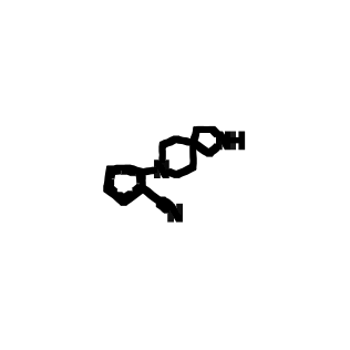 N#Cc1ccccc1N1CCC2(CCNC2)CC1